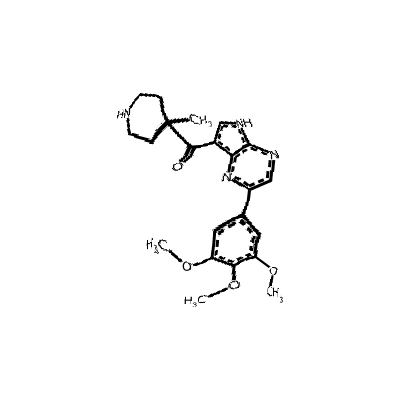 COc1cc(-c2cnc3[nH]cc(C(=O)C4(C)CCNCC4)c3n2)cc(OC)c1OC